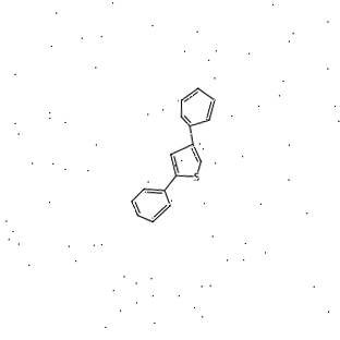 [c]1cccc(-c2csc(-c3ccccc3)c2)c1